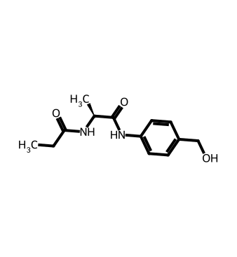 CCC(=O)N[C@@H](C)C(=O)Nc1ccc(CO)cc1